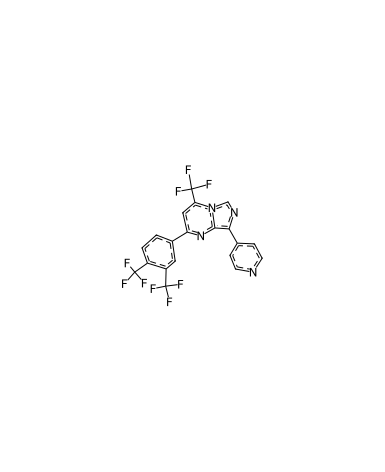 FC(F)(F)c1ccc(-c2cc(C(F)(F)F)n3cnc(-c4ccncc4)c3n2)cc1C(F)(F)F